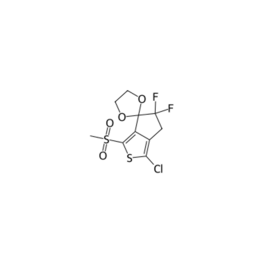 CS(=O)(=O)c1sc(Cl)c2c1C1(OCCO1)C(F)(F)C2